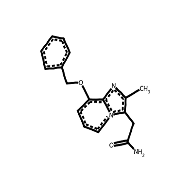 Cc1nc2c(OCc3ccccc3)cccn2c1CC(N)=O